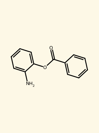 Nc1ccccc1OC(=O)c1ccccc1